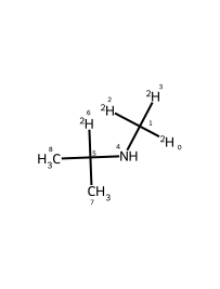 [2H]C([2H])([2H])NC([2H])(C)C